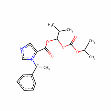 CC(C)OC(=O)OC(OC(=O)c1cncn1[C@H](C)c1ccccc1)C(C)C